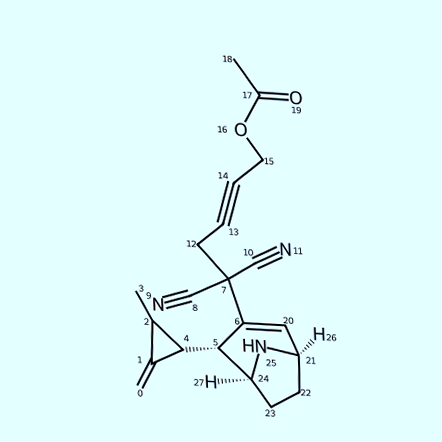 C=C1C(C)C1[C@@H]1C(C(C#N)(C#N)CC#CCOC(C)=O)=C[C@H]2CC[C@@H]1N2